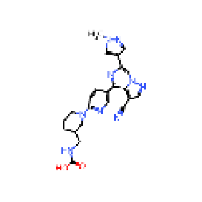 Cn1cc(-c2cn3ncc(C#N)c3c(-c3ccc(N4CCCC(CNC(=O)O)C4)nc3)n2)cn1